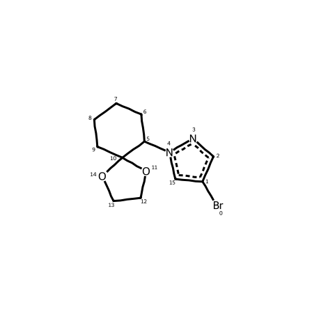 Brc1cnn(C2CCCCC23OCCO3)c1